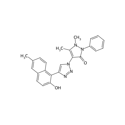 Cc1ccc2c(-c3cn(-c4c(C)n(C)n(-c5ccccc5)c4=O)nn3)c(O)ccc2c1